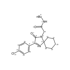 CCCCNC(=O)CN1C(=O)C(c2ccc(Cl)cc2)=NC12CCCCC2